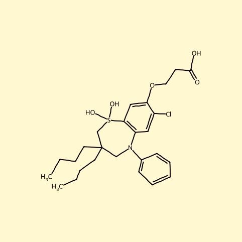 CCCCC1(CCCC)CN(c2ccccc2)c2cc(Cl)c(OCCC(=O)O)cc2S(O)(O)C1